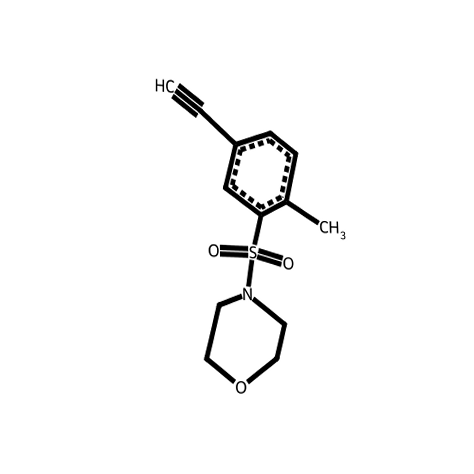 C#Cc1ccc(C)c(S(=O)(=O)N2CCOCC2)c1